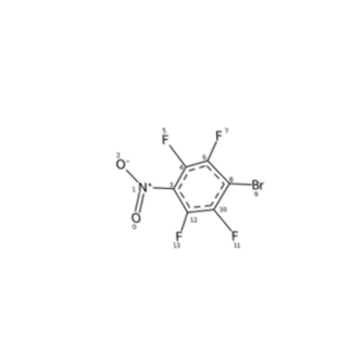 O=[N+]([O-])c1c(F)c(F)c(Br)c(F)c1F